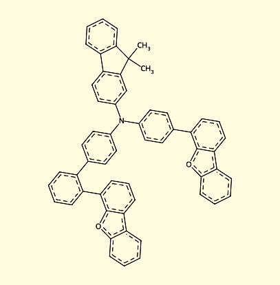 CC1(C)c2ccccc2-c2ccc(N(c3ccc(-c4ccccc4-c4cccc5c4oc4ccccc45)cc3)c3ccc(-c4cccc5c4oc4ccccc45)cc3)cc21